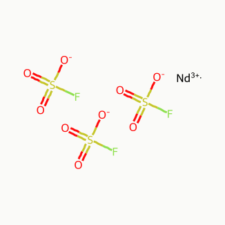 O=S(=O)([O-])F.O=S(=O)([O-])F.O=S(=O)([O-])F.[Nd+3]